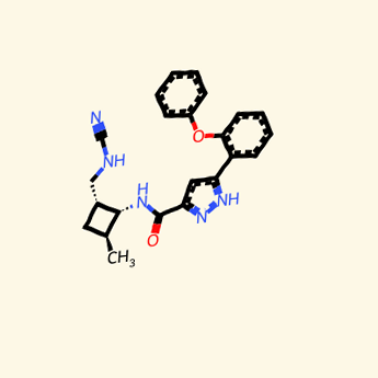 C[C@H]1C[C@H](CNC#N)[C@@H]1NC(=O)c1cc(-c2ccccc2Oc2ccccc2)[nH]n1